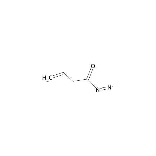 C=CCC(=O)[N+]=[N-]